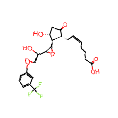 O=C(O)CCC/C=C\C[C@H]1C(=O)C[C@@H](O)[C@@H]1[C@H]1OC1C(O)COc1cccc(C(F)(F)F)c1